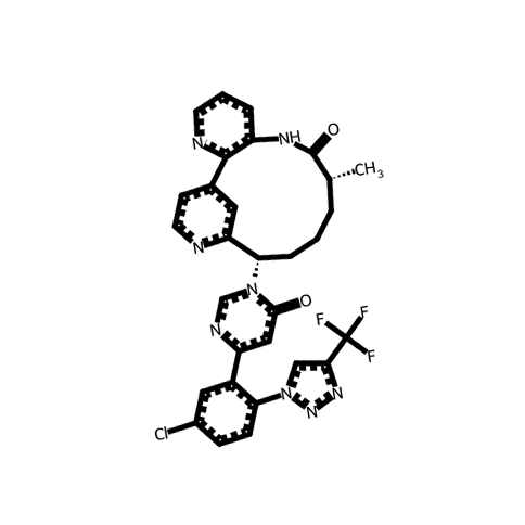 C[C@@H]1CCC[C@H](n2cnc(-c3cc(Cl)ccc3-n3cc(C(F)(F)F)nn3)cc2=O)c2cc(ccn2)-c2ncccc2NC1=O